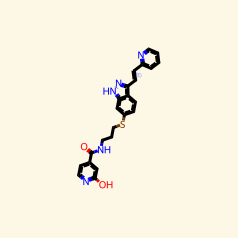 O=C(NCCCSc1ccc2c(/C=C/c3ccccn3)n[nH]c2c1)c1ccnc(O)c1